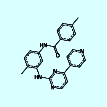 Cc1ccc(C(=O)Nc2ccc(C)c(Nc3nccc(-c4ccncc4)n3)c2)cc1